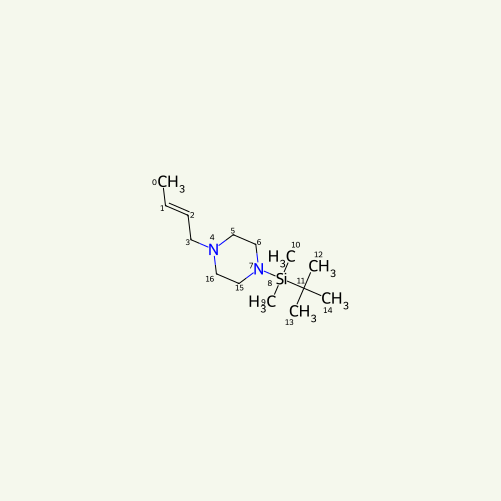 CC=CCN1CCN([Si](C)(C)C(C)(C)C)CC1